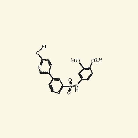 CCOc1ccc(-c2cccc(S(=O)(=O)Nc3ccc(C(=O)O)c(O)c3)c2)cn1